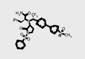 CC(C)C[C@@H](C(N)=O)N(C1CCN(S(=O)(=O)c2ccccc2)C1=O)[C@@H](c1ccc(-c2ccc(S(C)(=O)=O)cc2)cc1)C(F)(F)F